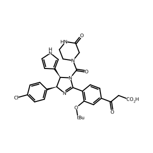 CC(C)(C)Oc1cc(C(=O)CC(=O)O)ccc1C1=N[C@@H](c2ccc(Cl)cc2)[C@@H](c2cc[nH]c2)N1C(=O)N1CCNC(=O)C1